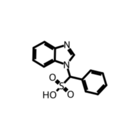 O=S(=O)(O)C(c1ccccc1)n1cnc2ccccc21